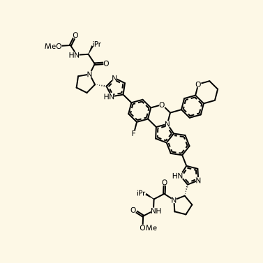 COC(=O)N[C@H](C(=O)N1CCC[C@H]1c1ncc(-c2cc(F)c3c(c2)OC(c2ccc4c(c2)OCCC4)n2c-3cc3cc(-c4cnc([C@@H]5CCCN5C(=O)[C@@H](NC(=O)OC)C(C)C)[nH]4)ccc32)[nH]1)C(C)C